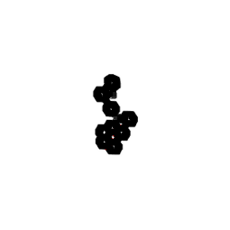 c1ccc(-c2ccc(-c3ccccc3N(c3ccc(-c4cccc5c4sc4ccccc45)cc3)c3ccc4c(ccc5ccccc54)c3)cc2)cc1